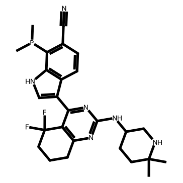 CP(C)c1c(C#N)ccc2c(-c3nc(NC4CCC(C)(C)NC4)nc4c3C(F)(F)CCC4)c[nH]c12